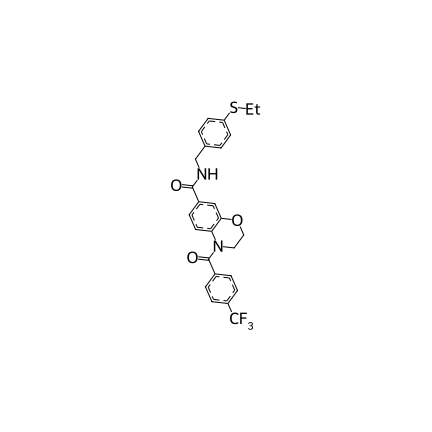 CCSc1ccc(CNC(=O)c2ccc3c(c2)OCCN3C(=O)c2ccc(C(F)(F)F)cc2)cc1